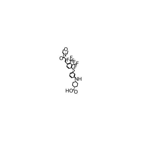 O=C(/C=C/c1ccc(Sc2cccc(N[C@H]3CC[C@H](C(=O)O)CC3)c2)c(C(F)(F)F)c1C(F)(F)F)N1CCOCC1